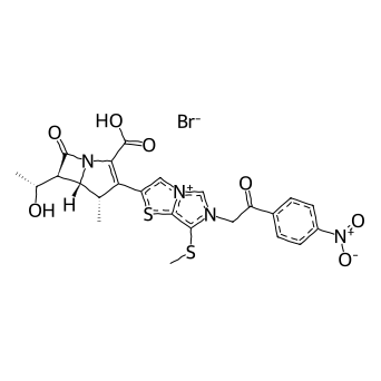 CSc1c2sc(C3=C(C(=O)O)N4C(=O)[C@H]([C@@H](C)O)[C@H]4[C@H]3C)c[n+]2cn1CC(=O)c1ccc([N+](=O)[O-])cc1.[Br-]